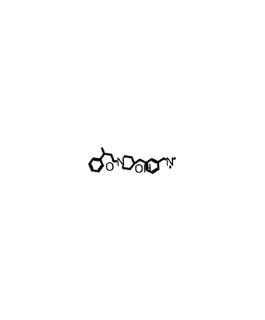 CC(CC(=O)N1CCC(O)(Cc2cccc(CN(C)C)c2)CC1)c1ccccc1